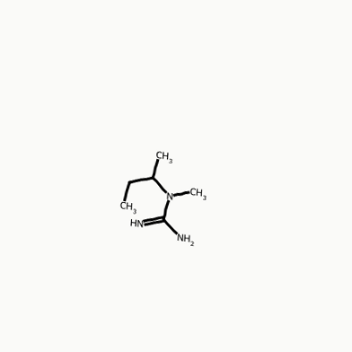 CCC(C)N(C)C(=N)N